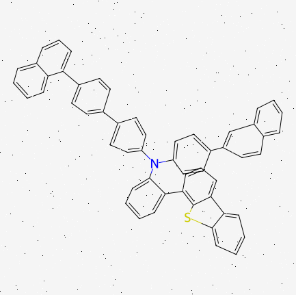 c1ccc(N(c2ccc(-c3ccc(-c4cccc5ccccc45)cc3)cc2)c2ccc(-c3ccc4ccccc4c3)cc2)c(-c2cccc3c2sc2ccccc23)c1